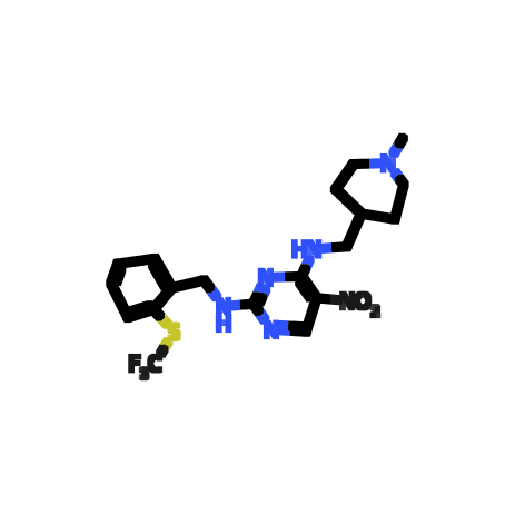 CN1CCC(CNc2nc(NCc3ccccc3SC(F)(F)F)ncc2[N+](=O)[O-])CC1